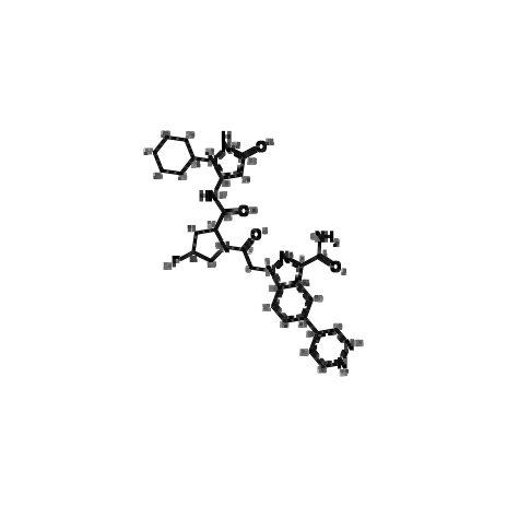 NC(=O)c1nn(CC(=O)N2CC(F)CC2C(=O)Nc2cc(=O)[nH]n2C2CCCCC2)c2ccc(-c3ccnnc3)cc12